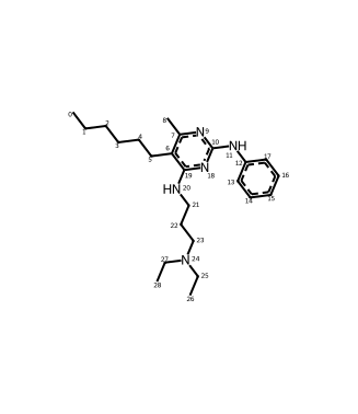 CCCCCCc1c(C)nc(Nc2ccccc2)nc1NCCCN(CC)CC